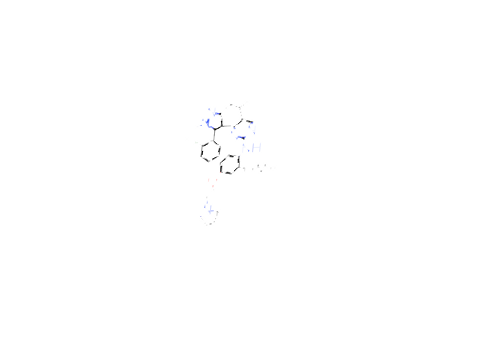 COc1cc(OCCN2CCCC2)ccc1Nc1ncc2c(n1)-c1c(nn(C)c1-c1ccccc1Cl)CC2C